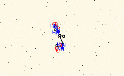 COC(=O)N[C@H](C(=O)N1CCC[C@H]1c1ncc(-c2cc(C)c(C#CC#Cc3cnc([C@@H]4CCCN4C(=O)[C@H](NC(=O)OC)c4ccccc4)[nH]3)c(-c3ccccc3)c2)[nH]1)C(C)C